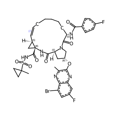 Cc1nc2c(Br)cc(F)cc2nc1O[C@@H]1C[C@H]2C(=O)N[C@]3(C(=O)NS(=O)(=O)C4(C)CC4)C[C@H]3/C=C\CCCCC[C@H](NC(=O)c3ccc(F)cc3)C(=O)N2C1